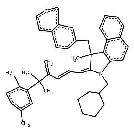 C=C(/C=C/C=C1/N(CC2CCCCC2)c2ccc3ccccc3c2C1(C)Cc1ccc2ccccc2c1)C(C)(C)c1cc(C)ccc1C